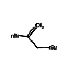 [CH2]CCCCC(=C)CCCC